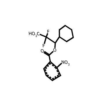 O=C(OC(C1CCCCC1)C(F)(F)C(=O)O)c1ccccc1[N+](=O)[O-]